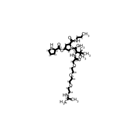 CCCNC(=O)C1CC(OC(=O)C2CCCN2)CN1C(=O)C(NC(=O)COCCOCCOCCNC(C)C)C(C)(C)C